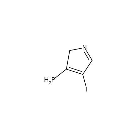 PC1=C(I)C=NC1